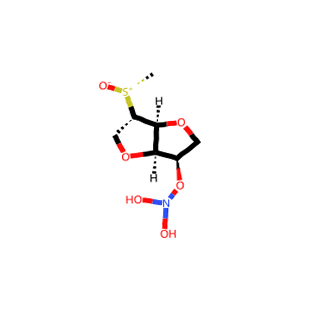 C[S@@+]([O-])[C@H]1CO[C@H]2[C@@H]1OC[C@H]2ON(O)O